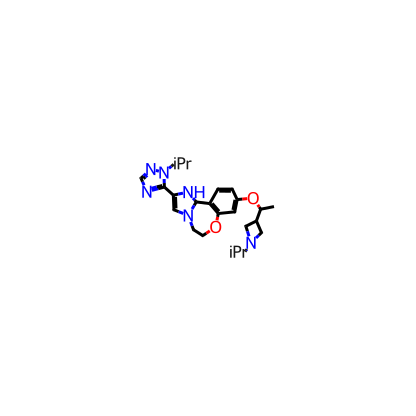 CC(Oc1ccc2c(c1)OCCN1C=C(c3ncnn3C(C)C)NC21)C1CN(C(C)C)C1